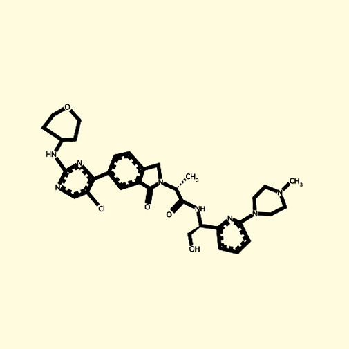 C[C@H](C(=O)N[C@H](CO)c1cccc(N2CCN(C)CC2)n1)N1Cc2ccc(-c3nc(NC4CCOCC4)ncc3Cl)cc2C1=O